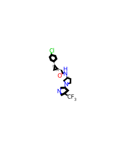 O=C(C[C@@H]1C[C@@H]1c1ccc(Cl)cc1)N[C@@H]1CCN(c2cncc(C(F)(F)F)c2)C1